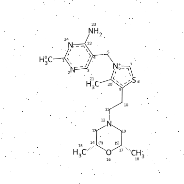 Cc1ncc(C[n+]2csc(CCN3C[C@@H](C)O[C@@H](C)C3)c2C)c(N)n1